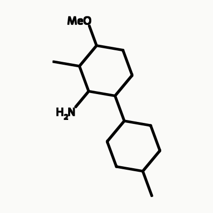 COC1CCC(C2CCC(C)CC2)C(N)C1C